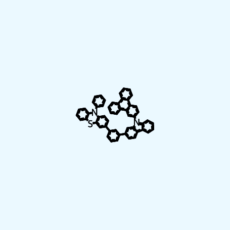 c1ccc(N2c3ccccc3Sc3cc(-c4cccc(-c5ccc6c7ccccc7n(-c7ccc8c9ccccc9c9ccccc9c8c7)c6c5)c4)ccc32)cc1